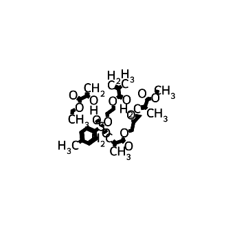 C=C(C)C(=O)OC.C=C(C)C(=O)OCC1CO1.C=C(C)C(=O)OCCOS(=O)(=O)c1ccc(C)cc1.C=C(O)C(=O)OCC